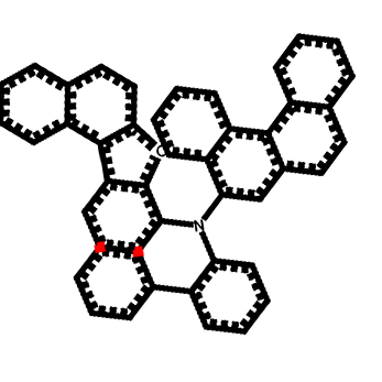 c1ccc(-c2ccccc2N(c2cc3ccc4ccccc4c3c3ccccc23)c2cccc3c2oc2ccc4ccccc4c23)cc1